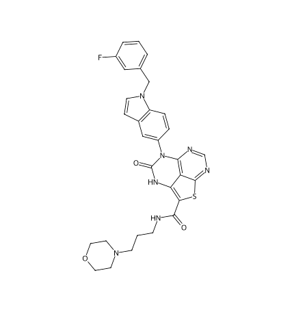 O=C(NCCCN1CCOCC1)c1sc2ncnc3c2c1NC(=O)N3c1ccc2c(ccn2Cc2cccc(F)c2)c1